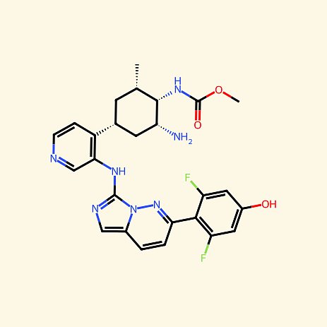 COC(=O)N[C@@H]1[C@H](N)C[C@H](c2ccncc2Nc2ncc3ccc(-c4c(F)cc(O)cc4F)nn23)C[C@@H]1C